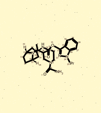 CC(C1CN(C(N)=O)CCO1)N1[C@@H]2CC[C@H]1C[C@H](NC(=O)Oc1nn(C(C)C)c3ccccc13)C2